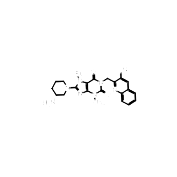 CCn1c(N2CCC[C@@H](N)C2)nc2c1c(=O)n(Cc1nc3ccccc3cc1C#N)c(=O)n2C